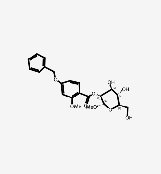 COc1cc(OCc2ccccc2)ccc1C(=O)O[C@H]1[C@@H](OC)O[C@H](CO)[C@@H](O)[C@@H]1O